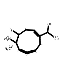 CC(O)/C1=C/CC(F)[C@](C)(N)C=C=CC1